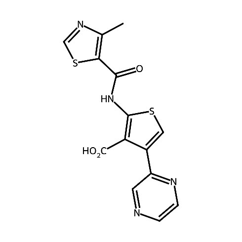 Cc1ncsc1C(=O)Nc1scc(-c2cnccn2)c1C(=O)O